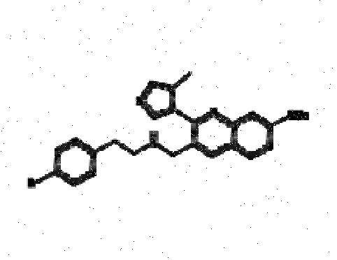 COc1ccc2cc(CNCCc3ccc(Br)cc3)c(-c3cscc3C)nc2c1